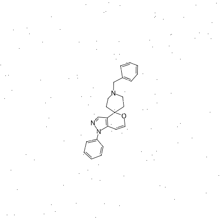 C1=Cc2c(cnn2-c2ccccc2)C2(CCN(Cc3ccccc3)CC2)O1